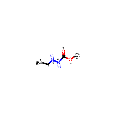 CCOC(=O)NNCC(C)CC